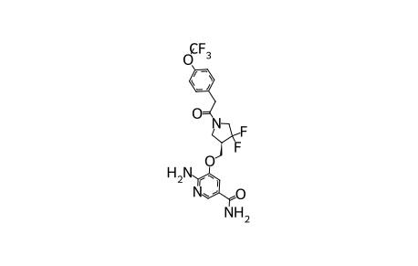 NC(=O)c1cnc(N)c(OC[C@H]2CN(C(=O)Cc3ccc(OC(F)(F)F)cc3)CC2(F)F)c1